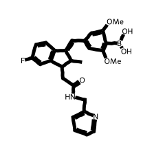 COc1cc(C=C2c3ccc(F)cc3C(CC(=O)NCc3ccccn3)C2C)cc(OC)c1B(O)O